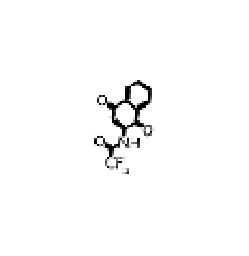 O=C1C=C(NC(=O)C(F)(F)F)C(=O)c2ccccc21